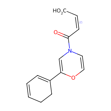 O=C(O)/C=C\C(=O)N1C=COC(C2=CC=CCC2)=C1